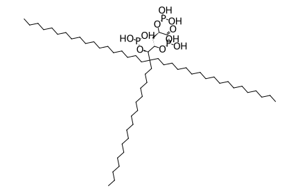 CCCCCCCCCCCCCCCCCCC(CCCCCCCCCCCCCCCCCC)(CCCCCCCCCCCCCCCCCC)[C@@H](OP(O)O)[C@H](C[C@H](C=O)OP(O)O)OP(O)O